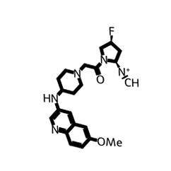 C#[N+][C@@H]1C[C@H](F)CN1C(=O)CN1CCC(Nc2cnc3ccc(OC)cc3c2)CC1